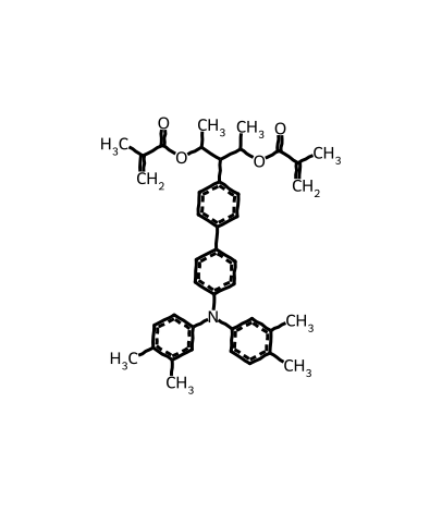 C=C(C)C(=O)OC(C)C(c1ccc(-c2ccc(N(c3ccc(C)c(C)c3)c3ccc(C)c(C)c3)cc2)cc1)C(C)OC(=O)C(=C)C